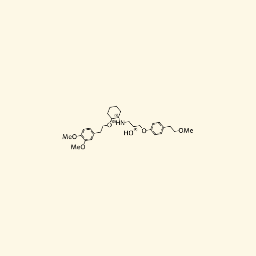 COCCc1ccc(OC[C@H](O)CN[C@H]2CCCC[C@@H]2OCCc2ccc(OC)c(OC)c2)cc1